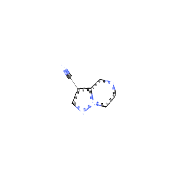 N#Cc1cnn2ccncc12